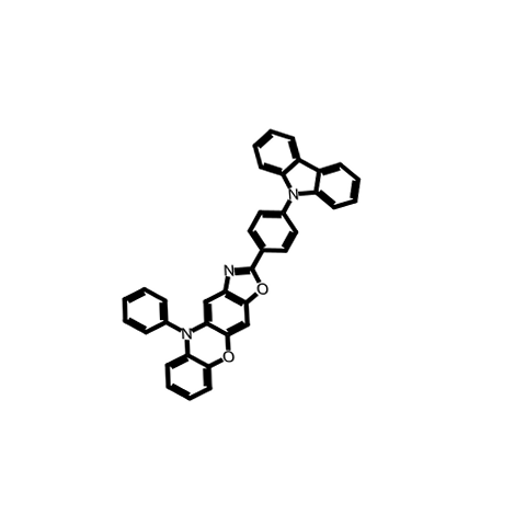 c1ccc(N2c3ccccc3Oc3cc4oc(-c5ccc(-n6c7ccccc7c7ccccc76)cc5)nc4cc32)cc1